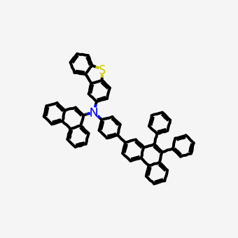 c1ccc(-c2c(-c3ccccc3)c3cc(-c4ccc(N(c5ccc6sc7ccccc7c6c5)c5cc6ccccc6c6ccccc56)cc4)ccc3c3ccccc23)cc1